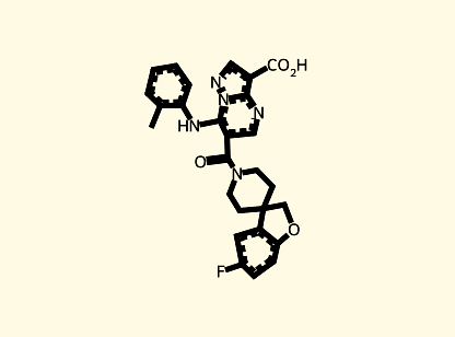 Cc1ccccc1Nc1c(C(=O)N2CCC3(CC2)COc2ccc(F)cc23)cnc2c(C(=O)O)cnn12